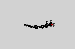 CCCCCCCCC[C@H]1CC[C@H](CCC2CCC(c3ccc(-c4ccc(CF)c(F)c4)c(F)c3)CC2)CC1